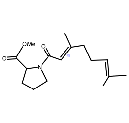 COC(=O)C1CCCN1C(=O)/C=C(\C)CCC=C(C)C